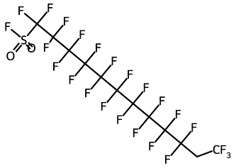 O=S(=O)(F)C(F)(F)C(F)(F)C(F)(F)C(F)(F)C(F)(F)C(F)(F)C(F)(F)C(F)(F)C(F)(F)C(F)(F)CC(F)(F)F